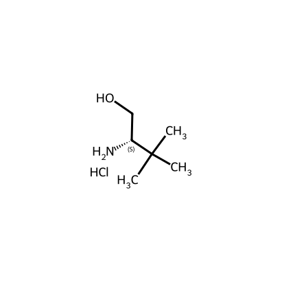 CC(C)(C)[C@H](N)CO.Cl